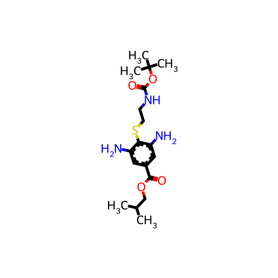 CC(C)COC(=O)c1cc(N)c(SCCNC(=O)OC(C)(C)C)c(N)c1